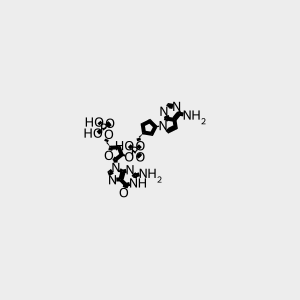 Nc1nc2c(ncn2C2O[C@H](COP(=O)(O)O)C[C@H]2OP(=O)(O)OC[C@@H]2CC[C@H](n3ccc4c(N)ncnc43)C2)c(=O)[nH]1